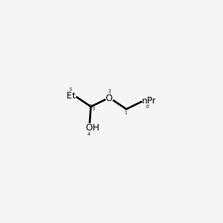 CCCCO[C](O)CC